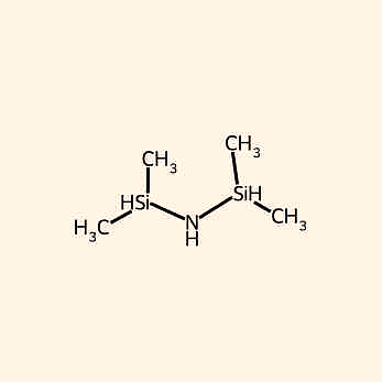 C[SiH](C)N[SiH](C)C